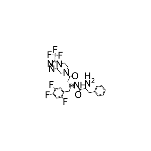 NC(Cc1ccccc1)C(=O)N[C@@H](CC(=O)N1CCn2c(nnc2C(F)(F)F)C1)Cc1cc(F)c(F)cc1F